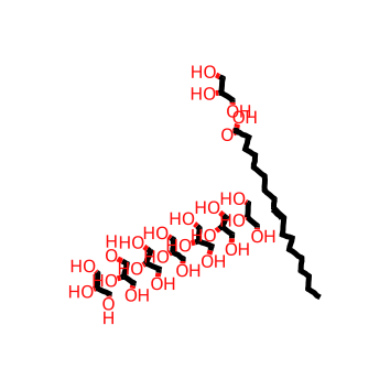 CCCCCCCCC=CCCCCCCCC(=O)O.OCC(O)CO.OCC(O)CO.OCC(O)CO.OCC(O)CO.OCC(O)CO.OCC(O)CO.OCC(O)CO.OCC(O)CO